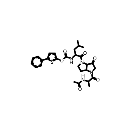 CC(=O)NC(C)C(=O)N1CC(=O)C2C1CCN2C(=O)C(CC(C)C)NC(=O)Oc1ccc(-c2ccccc2)s1